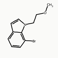 COCCn1ccc2cccc(Br)c21